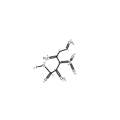 C=CCC(=C)C(C(=C)C(=O)OF)=S(=O)=O